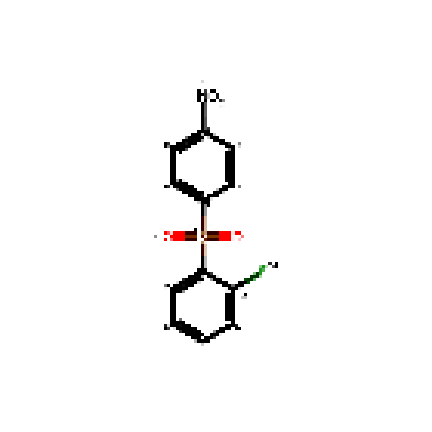 O=[N+]([O-])c1ccc(S(=O)(=O)c2ccccc2F)cc1